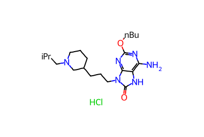 CCCCOc1nc(N)c2[nH]c(=O)n(CCCC3CCCN(CC(C)C)C3)c2n1.Cl